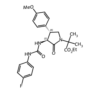 CCOC(=O)C(C)(C)N1C[C@@H](c2ccc(OC)cc2)[C@H](NC(=O)Nc2ccc(F)cc2)C1=O